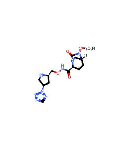 O=C(NOC[C@H]1C[C@@H](n2ncnn2)CN1)[C@@H]1CC[C@@H]2CN1C(=O)N2OS(=O)(=O)O